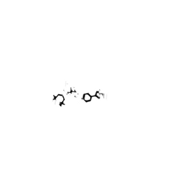 CN(c1nnc(Oc2ccc(-c3cn[nH]c3)cc2)s1)C1CC(C)(C)NC(C)(C)C1.Cl